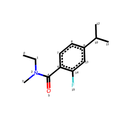 CCN(C)C(=O)c1ccc(C(C)C)cc1F